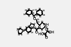 O=C(N1CCc2cc(-n3ccnc3)ccc21)N1CCNCC1CCOC(c1ccccc1)c1ccccc1.O=C(O)C(=O)O